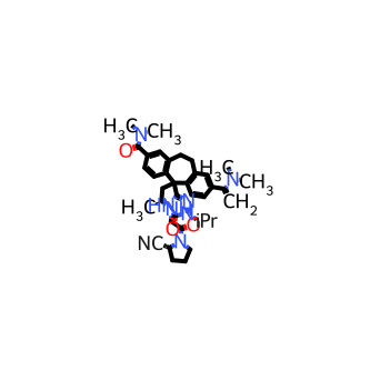 C=C(c1ccc2c(c1)CCc1cc(C(=O)N(C)C)ccc1C2(C[C@@H](C)NCC(=O)N1CCCC1C#N)c1nn(C(C)C)c(=O)[nH]1)N(C)C